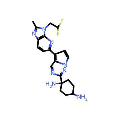 Cc1nc2ccc(-c3ccn4nc(C5(N)CCC(N)CC5)ncc34)nc2n1CC(F)F